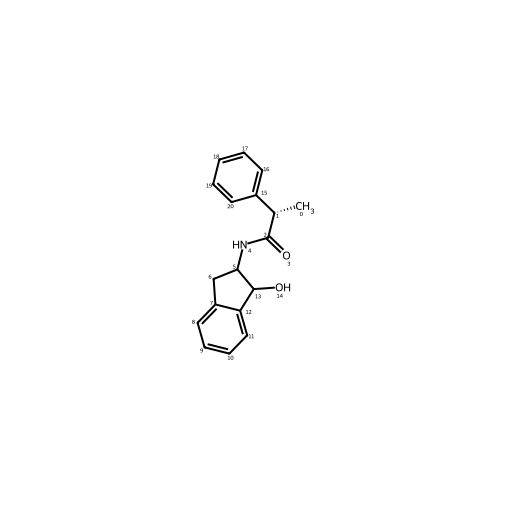 C[C@H](C(=O)NC1Cc2ccccc2C1O)c1ccccc1